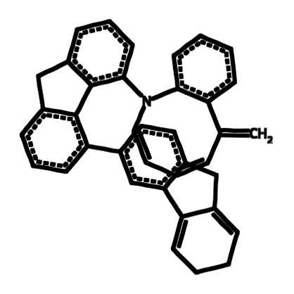 C=C1/C=C\C=C/N(c2cccc3c2-c2c(cccc2-c2ccc4c(c2)C2=CCCC=C2C4)C3)c2ccccc21